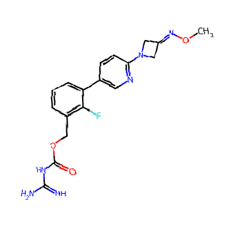 CON=C1CN(c2ccc(-c3cccc(COC(=O)NC(=N)N)c3F)cn2)C1